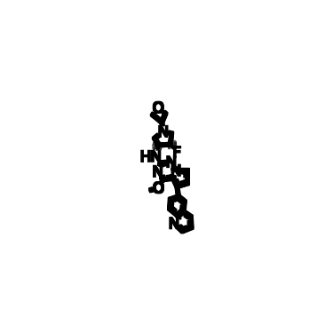 COc1nc(N[C@@H]2CN(C3COC3)C[C@@H]2F)nn2ccc(-c3ccc4ncccc4c3)c12